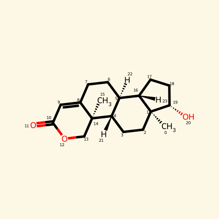 C[C@]12CC[C@H]3[C@@H](CCC4=CC(=O)OC[C@@]43C)[C@@H]1CC[C@@H]2O